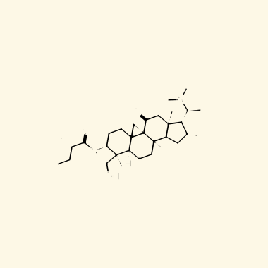 CC[C@H](C)C(=O)N[C@H]1CCC23C[C@]24C(=O)C[C@]2(C)[C@@H]([C@H](C)N(C)C)[C@H](O)C[C@@]2(C)[C@@H]4CC[C@H]3[C@]1(C)CO